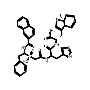 NC(=O)[C@H](CC1=CS[C@H]2C=CC=CC12)NC(=O)C(Cc1cnc[nH]1)NC(=O)CP(=O)(O)C(Cc1ccccc1)NC(=O)c1ccc2ccccc2c1